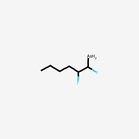 CCCCC(F)C(F)[AsH2]